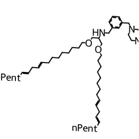 CCCCCC=CCC=CCCCCCCCCOCC(COCCCCCCCCC=CCC=CCCCCC)NCc1cccc(CN2CCN(C)CC2)c1